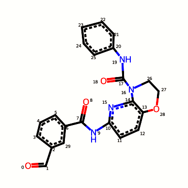 O=Cc1cccc(C(=O)Nc2ccc3c(n2)N(C(=O)Nc2ccccc2)CCO3)c1